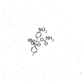 Cc1ccc(S(=O)(=O)C(COC(N)=O)(c2ccc([N+](=O)[O-])cc2)C(C)(C)C)cc1